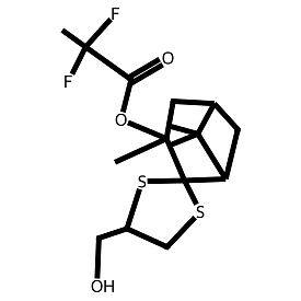 CC(F)(F)C(=O)OC1(C)CC2CC(C2(C)C)C12SCC(CO)S2